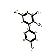 CC(=O)c1cc(Cl)c([O])c(-c2ccc(Br)cc2)c1